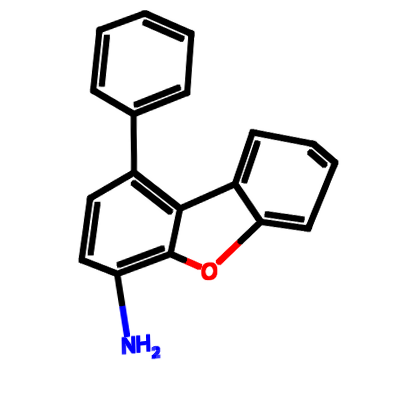 Nc1ccc(-c2ccccc2)c2c1oc1ccccc12